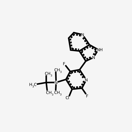 CC(C)(C)[Si](C)(C)c1c(F)c(-c2n[nH]c3ncccc23)nc(F)c1Cl